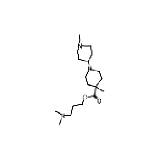 CN(C)CCCOC(=O)C1(C)CCN(C2CCN(C)CC2)CC1